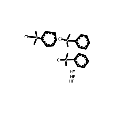 CS(C)(Cl)c1ccccc1.CS(C)(Cl)c1ccccc1.CS(C)(Cl)c1ccccc1.F.F.F